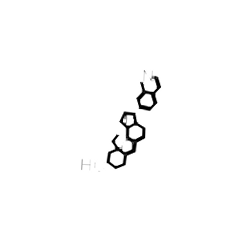 C[C@]12CC=C3C=C4CC[C@H](O)CC45CC[C@]3(O5)[C@@H]1CC[C@@H]2c1ccc2ccncc2c1